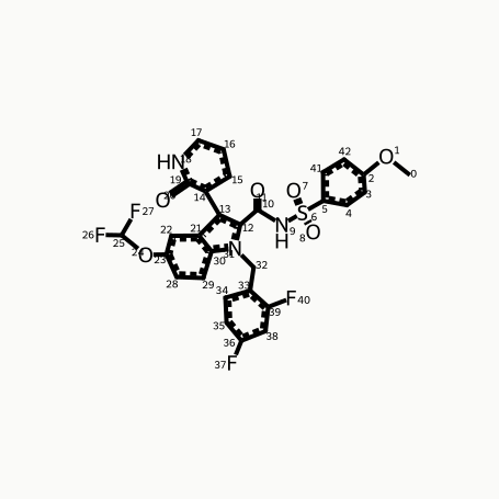 COc1ccc(S(=O)(=O)NC(=O)c2c(-c3ccc[nH]c3=O)c3cc(OC(F)F)ccc3n2Cc2ccc(F)cc2F)cc1